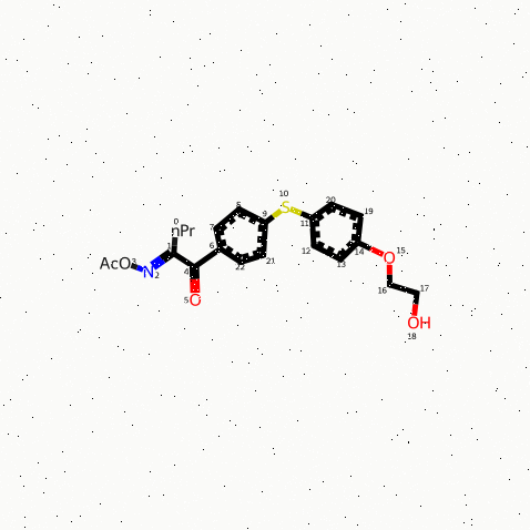 CCC/C(=N\OC(C)=O)C(=O)c1ccc(Sc2ccc(OCCO)cc2)cc1